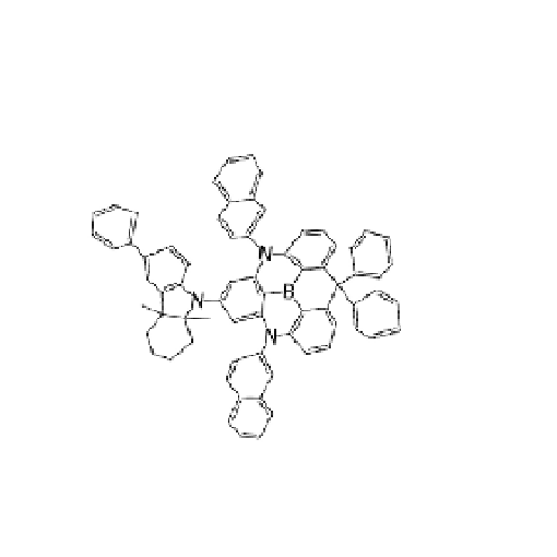 CC12CCCCC1(C)N(c1cc3c4c(c1)N(c1ccc5ccccc5c1)c1cccc5c1B4c1c(cccc1C5(c1ccccc1)c1ccccc1)N3c1ccc3ccccc3c1)c1ccc(-c3ccccc3)cc12